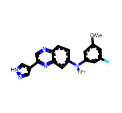 CCCN(c1cc(F)cc(OC)c1)c1ccc2ncc(-c3cn[nH]c3)nc2c1